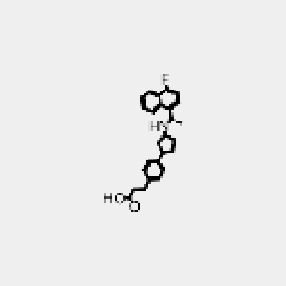 C[C@@H](NC1CCC(c2ccc(CCC(=O)O)cc2)C1)c1ccc(F)c2ccccc12